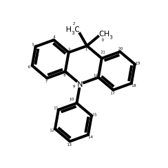 CC1(C)c2ccccc2N(c2ccccc2)c2ccccc21